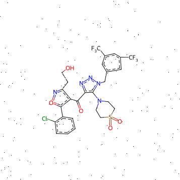 O=C(c1nnn(Cc2cc(C(F)(F)F)cc(C(F)(F)F)c2)c1N1CCS(=O)(=O)CC1)c1c(CCO)noc1-c1ccccc1Cl